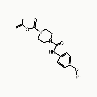 C=C(C)OC(=O)N1CCN(C(=O)Nc2ccc(OC(C)C)cc2)CC1